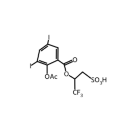 CC(=O)Oc1c(I)cc(I)cc1C(=O)OC(CS(=O)(=O)O)C(F)(F)F